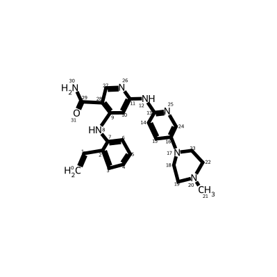 C=Cc1ccccc1Nc1cc(Nc2ccc(N3CCN(C)CC3)cn2)ncc1C(N)=O